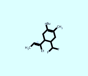 C/C=C(\CC)C1CC(CCCC)=C(C)CC1C(F)F